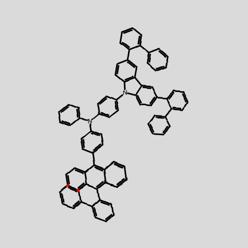 c1ccc(-c2ccccc2-c2ccc3c(c2)c2cc(-c4ccccc4-c4ccccc4)ccc2n3-c2ccc(N(c3ccccc3)c3ccc(-c4c5ccccc5c(-c5ccccc5-c5ccccc5)c5ccccc45)cc3)cc2)cc1